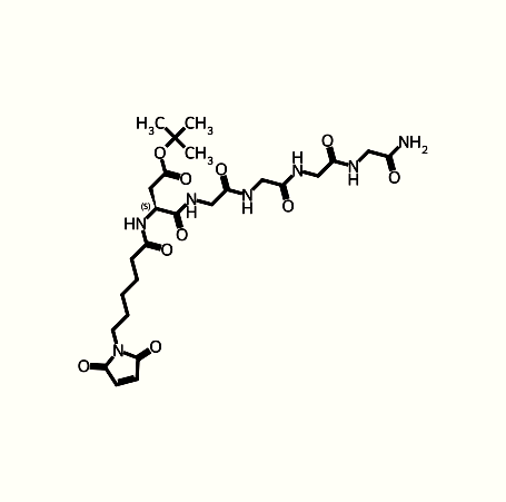 CC(C)(C)OC(=O)C[C@H](NC(=O)CCCCCN1C(=O)C=CC1=O)C(=O)NCC(=O)NCC(=O)NCC(=O)NCC(N)=O